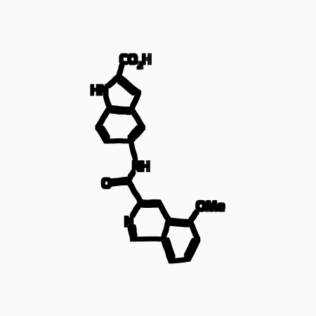 COc1cccc2cnc(C(=O)Nc3ccc4[nH]c(C(=O)O)cc4c3)cc12